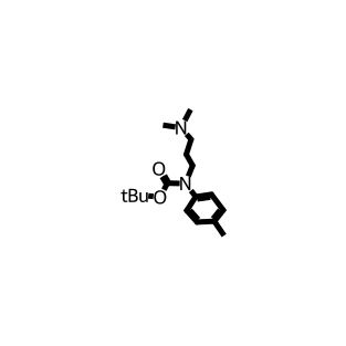 Cc1ccc(N(CCCN(C)C)C(=O)OC(C)(C)C)cc1